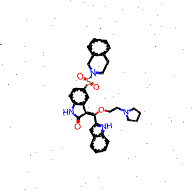 O=C1Nc2ccc(S(=O)(=O)N3CCc4ccccc4C3)cc2/C1=C(\OCCN1CCCC1)c1cc2ccccc2[nH]1